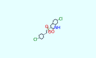 O=c1[nH]c2cc(Cl)ccc2cc1S(=O)(=O)C=Cc1ccc(Cl)cc1